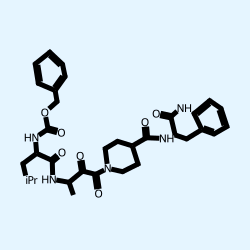 CC(C)CC(NC(=O)OCc1ccccc1)C(=O)NC(C)C(=O)C(=O)N1CCC(C(=O)NC(Cc2ccccc2)C(N)=O)CC1